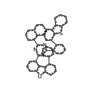 c1ccc(-c2cccc3oc4cccc(-c5nc(-c6ccccc6-c6cccc7c6sc6ccccc67)nc(-c6cccc7ccccc67)n5)c4c23)cc1